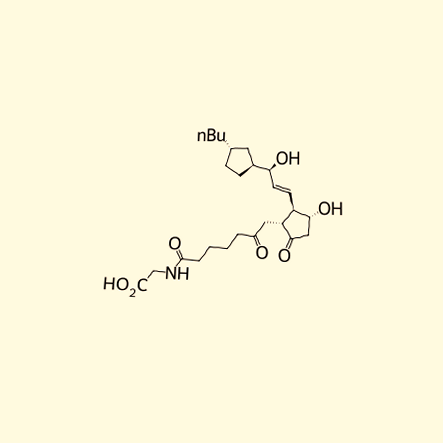 CCCC[C@H]1CC[C@H]([C@@H](O)/C=C/[C@H]2[C@H](O)CC(=O)[C@@H]2CC(=O)CCCCC(=O)NCC(=O)O)C1